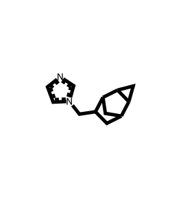 c1cn(CC2CC3CC2C2CC32)cn1